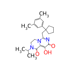 Cc1cc(C)cc(C2(Cc3nc(=O)c(O)c4n3CCN(C(C)C)C4=O)CCCC2)c1